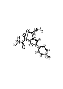 CNC(=O)N(S)c1sc(-c2ccc(F)cc2)cc1C(N)=O